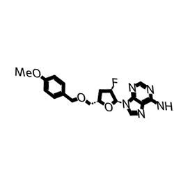 COc1ccc(COC[C@@H]2C[C@H](F)[C@H](n3cnc4c(N)ncnc43)O2)cc1